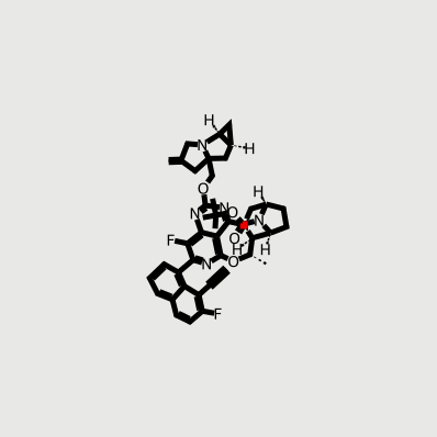 C#Cc1c(F)ccc2cccc(-c3nc4c5c(nc(OCC67CC(=C)CN6[C@H]6C[C@H]6C7)nc5c3F)N3C[C@H]5CC[C@@H]([C@H]3[C@H](C)O4)N5C(=O)OC(C)(C)C)c12